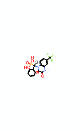 CC(c1ccccc1)(n1c(=O)c(=O)[nH]c2cc(C(F)(F)F)ccc21)P(=O)(O)O